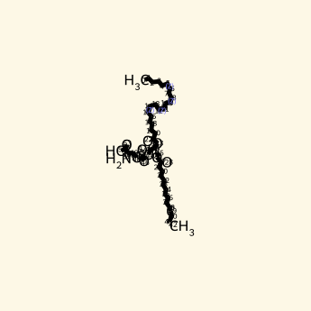 CCCCC/C=C\C/C=C\C/C=C\C/C=C\CCCCCC(=O)O[C@H](COC(=O)CCCCCCCCCCCCCC)COP(=O)(O)OC[C@H](N)C(=O)O